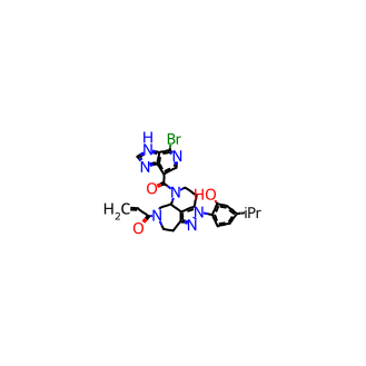 C=CC(=O)N1CCc2nn(-c3ccc(C(C)C)cc3O)c3c2C(C1)N(C(=O)c1cnc(Br)c2[nH]cnc12)CC3